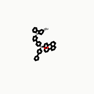 CC(C)(C)c1ccc2c(c1)c1ccccc1n2-c1cccc(-c2ccc(N(c3ccc(-c4ccccc4)cc3)c3ccc(-c4cccc5cccc(-c6ccccc6)c45)cc3)cc2)c1